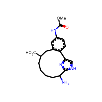 COC(=O)Nc1ccc2c(c1)CC(C(=O)O)CCCCC(N)c1nc-2c[nH]1